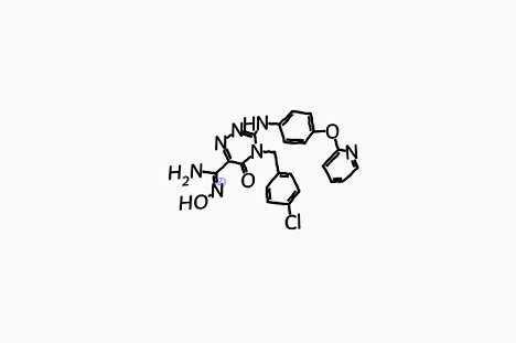 N/C(=N\O)c1nnc(Nc2ccc(Oc3ccccn3)cc2)n(Cc2ccc(Cl)cc2)c1=O